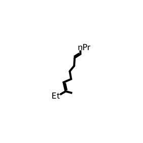 CCCC=CCCCC=C(C)CC